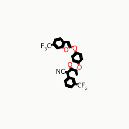 CC(Oc1ccc(Oc2cc3ccc(C(F)(F)F)cc3o2)cc1)C(=O)C(C#N)c1cccc(C(F)(F)F)c1